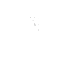 CC(C)CCCNC(=O)C1CSC2(N1)C(=O)c1ccccc1C2=O